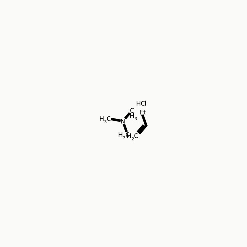 C=CCC.CN(C)C.Cl